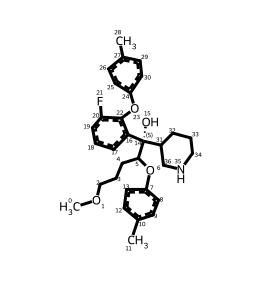 COCCCC(Oc1ccc(C)cc1)[C@@](O)(c1cccc(F)c1Oc1ccc(C)cc1)C1CCCNC1